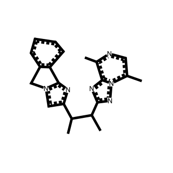 Cc1ncc(C)n2nc(C(C)C(C)c3cn4c(n3)-c3ccccc3C4)nc12